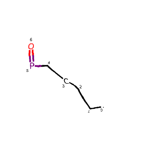 [CH2]CCCCP=O